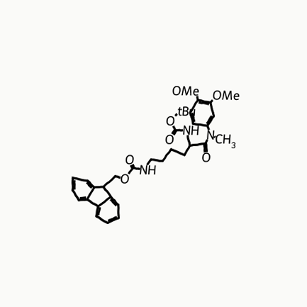 COc1ccc(N(C)C(=O)C(CCCCNC(=O)OCC2c3ccccc3-c3ccccc32)NC(=O)OC(C)(C)C)cc1OC